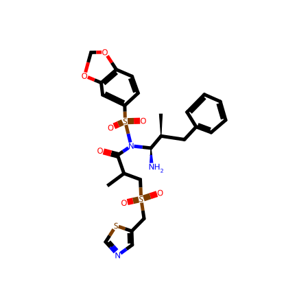 CC(CS(=O)(=O)Cc1cncs1)C(=O)N([C@H](N)[C@@H](C)Cc1ccccc1)S(=O)(=O)c1ccc2c(c1)OCO2